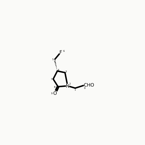 O=CCN1C[C@@H](CF)CC1=O